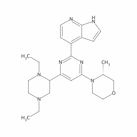 CCN1CCN(CC)C(c2cc(N3CCOC[C@H]3C)nc(-c3ccnc4[nH]ccc34)n2)C1